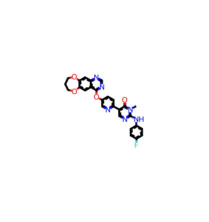 Cn1c(Nc2ccc(F)cc2)ncc(-c2ccc(Oc3ncnc4cc5c(cc34)OCCCO5)cn2)c1=O